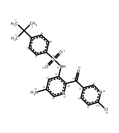 CC(C)(C)c1ccc(S(=O)(=O)Nc2cc(N)cnc2C(=O)c2ccc(Cl)nc2)cc1